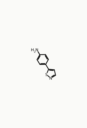 Nc1ccc(-c2ccns2)cc1